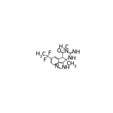 CN1C(=N)NC(C)(c2cnc[nH]2)C(c2cccc(C(C)(F)F)c2)C1=O